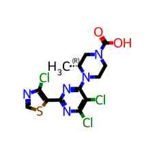 C[C@@H]1CN(C(=O)O)CCN1c1nc(-c2scnc2Cl)nc(Cl)c1Cl